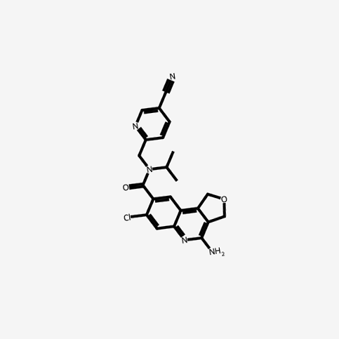 CC(C)N(Cc1ccc(C#N)cn1)C(=O)c1cc2c3c(c(N)nc2cc1Cl)COC3